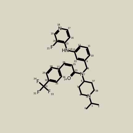 CC(C)N1CCC(N(Cc2cccc(Nc3ccncc3F)c2)C(=O)C=Cc2ccc(C(F)(F)F)cc2)CC1